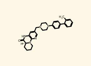 Cc1ccccc1-c1ccc(N2CCN(Cc3cnc4c(c3)NC(=O)[C@@H]3CCCCN43)CC2)cc1